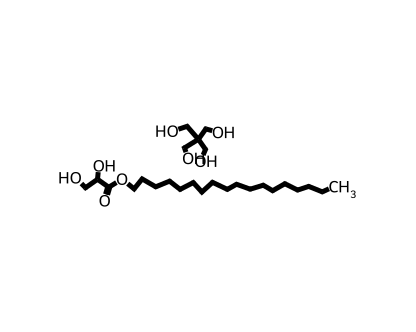 CCCCCCCCCCCCCCCCCCOC(=O)C(O)CO.OCC(CO)(CO)CO